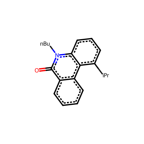 CCCCn1c(=O)c2ccccc2c2c(C(C)C)cccc21